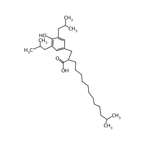 CC(C)CCCCCCCCCCC(Cc1cc(CC(C)C)c(O)c(CC(C)C)c1)C(=O)O